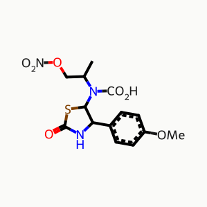 COc1ccc(C2NC(=O)SC2N(C(=O)O)C(C)CO[N+](=O)[O-])cc1